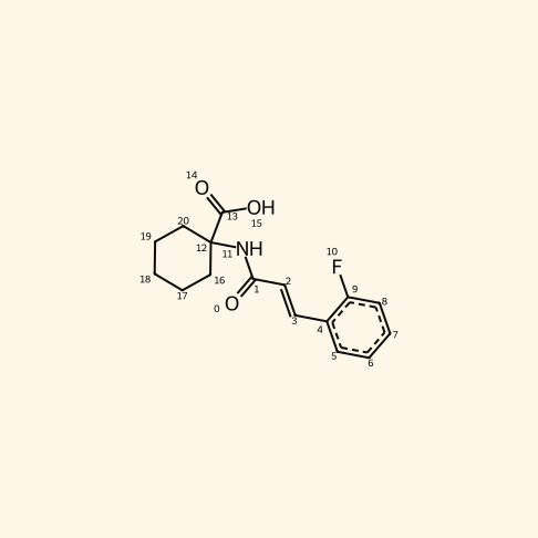 O=C(C=Cc1ccccc1F)NC1(C(=O)O)CCCCC1